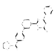 Cn1c(N2CCCC(c3ccc(C(=O)N4CCCC4)cc3)C2)nc(-c2ccncn2)cc1=O